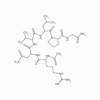 CC(=O)NC(CCCNC(=N)N)C(=O)NC(CC(N)=O)C(=O)NC(C(=O)NC(CC(C)C)C(=O)N1CCCC1C(=O)NCC(N)=O)C(C)C